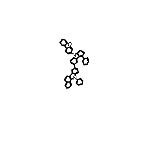 c1ccc(-c2cccc3c2c2cc(-c4ccc5c(c4)c4ccc6ccccc6c4n5-c4ccccc4)ccc2n3-c2ccc3c(c2)oc2ccccc23)cc1